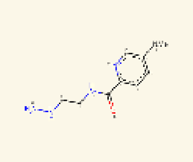 CNc1ccc(C(=O)NCCNN)nc1